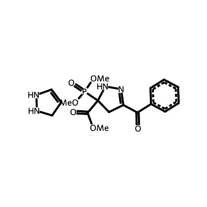 C1=CNNC1.COC(=O)C1(P(=O)(OC)OC)CC(C(=O)c2ccccc2)=NN1